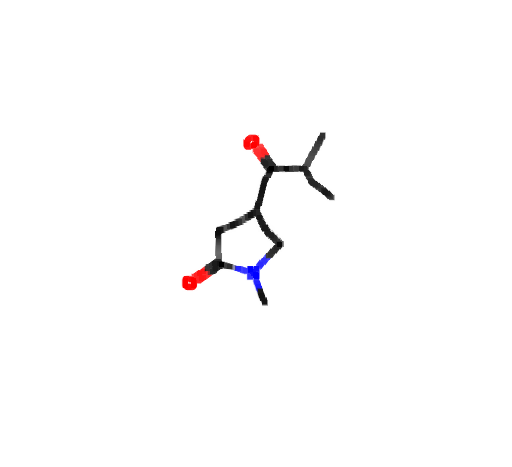 CC(C)C(=O)C1CC(=O)N(C)C1